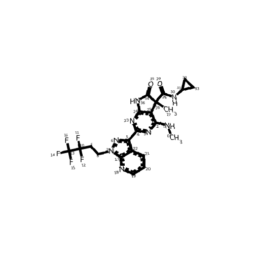 CNc1nc(-c2nn(CCC(F)(F)C(F)(F)F)c3ncccc23)nc2c1C(C)(C(=O)NC1CC1)C(=O)N2